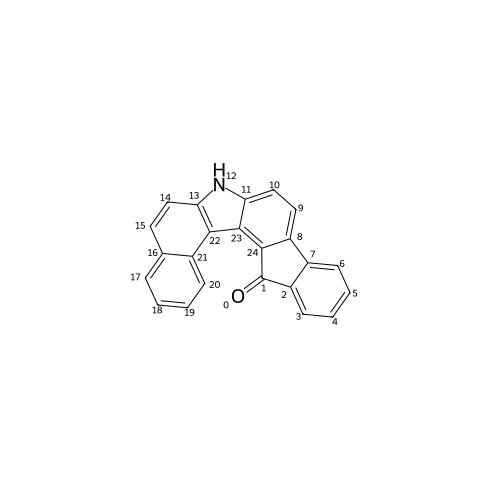 O=C1c2ccccc2-c2ccc3[nH]c4ccc5ccccc5c4c3c21